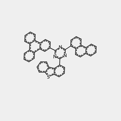 c1ccc2c(c1)ccc1c(-c3nc(-c4ccc5c6ccccc6c6ccccc6c5c4)nc(-c4cccc5sc6ccccc6c45)n3)cccc12